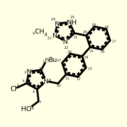 C.CCCCc1nc(Cl)c(CO)n1Cc1ccc(-c2ccccc2-c2nnn[nH]2)cc1